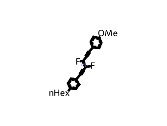 CCCCCCc1ccc(C#C/C(F)=C(\F)C#Cc2ccc(OC)cc2)cc1